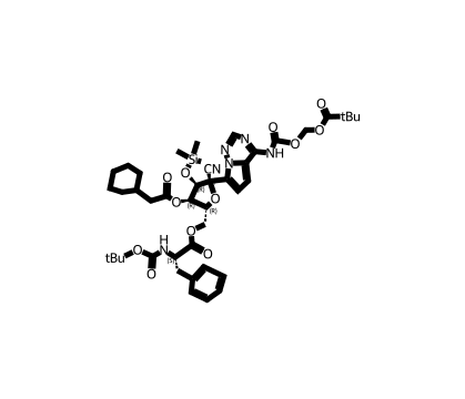 CC(C)(C)OC(=O)N[C@@H](Cc1ccccc1)C(=O)OC[C@H]1O[C@@](C#N)(c2ccc3c(NC(=O)OCOC(=O)C(C)(C)C)ncnn23)[C@H](O[Si](C)(C)C)[C@@H]1OC(=O)CC1CCCCC1